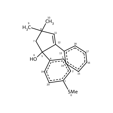 CSc1ccc(C2(O)CC(C)(C)C=C2c2ccccc2)cc1